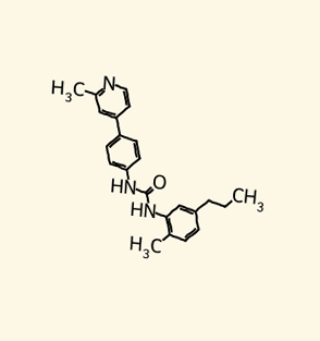 CCCc1ccc(C)c(NC(=O)Nc2ccc(-c3ccnc(C)c3)cc2)c1